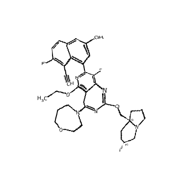 C#Cc1c(F)ccc2cc(O)cc(-c3nc(OCC)c4c(N5CCCOCC5)nc(OC[C@@]56CCCN5C[C@H](F)C6)nc4c3F)c12